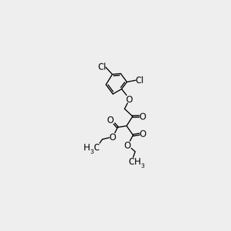 CCOC(=O)C(C(=O)COc1ccc(Cl)cc1Cl)C(=O)OCC